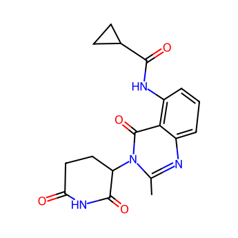 Cc1nc2cccc(NC(=O)C3CC3)c2c(=O)n1C1CCC(=O)NC1=O